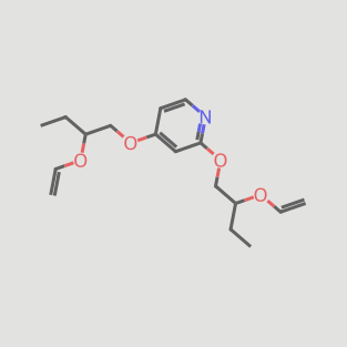 C=COC(CC)COc1ccnc(OCC(CC)OC=C)c1